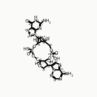 Nc1nc2c(nnn2C2S[C@@H]3COP(=O)(O)O[C@H]4C(c5cnc6c(N)ncnn56)CO[C@@H]4COP(=O)(S)O[C@@H]2[C@@H]3O)c(=O)[nH]1